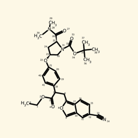 CCOC(=O)C(Cc1occ2cc(C#N)ccc12)c1ccc(O[C@H]2C[C@@H](C(=O)N(C)C)N(C(=O)OC(C)(C)C)C2)cc1